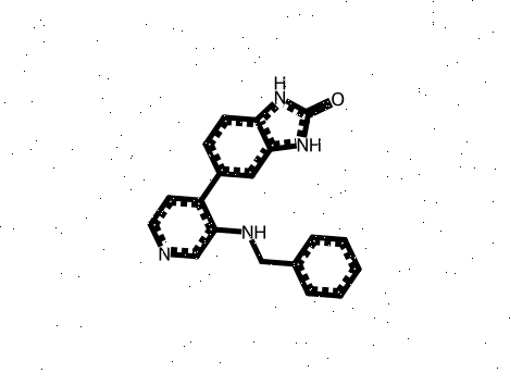 O=c1[nH]c2ccc(-c3ccncc3NCc3ccccc3)cc2[nH]1